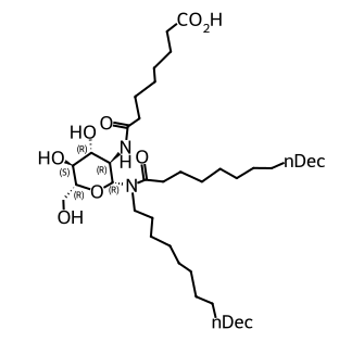 CCCCCCCCCCCCCCCCCCN(C(=O)CCCCCCCCCCCCCCCCC)[C@@H]1O[C@H](CO)[C@@H](O)[C@H](O)[C@H]1NC(=O)CCCCCCC(=O)O